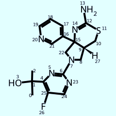 CC(C)(O)c1nc(N2C[C@H]3CSC(N)=NC3(c3cccnc3)C2)ncc1F